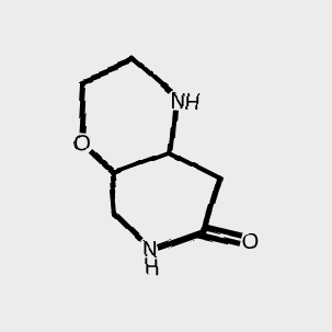 O=C1CC2NCCOC2CN1